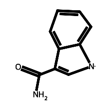 NC(=O)C1=C[N]c2ccccc21